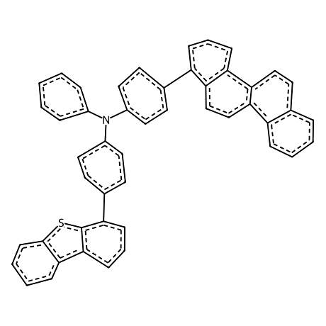 c1ccc(N(c2ccc(-c3cccc4c3ccc3c5ccccc5ccc43)cc2)c2ccc(-c3cccc4c3sc3ccccc34)cc2)cc1